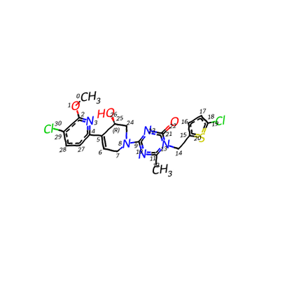 COc1nc(C2=CCN(c3nc(C)n(Cc4ccc(Cl)s4)c(=O)n3)C[C@@H]2O)ccc1Cl